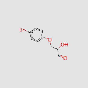 O=CC(O)COc1ccc(Br)cc1